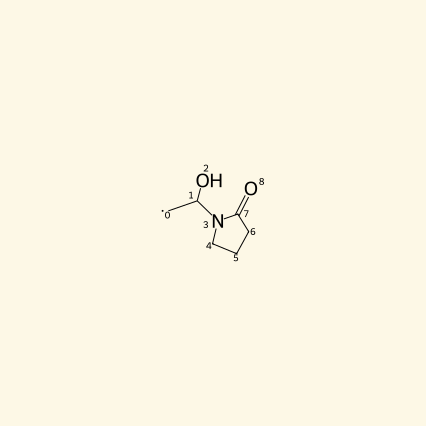 [CH2]C(O)N1CCCC1=O